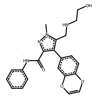 Cn1nc(C(=O)Nc2ccccc2)c(-c2ccc3c(c2)OC=CO3)c1CNCCO